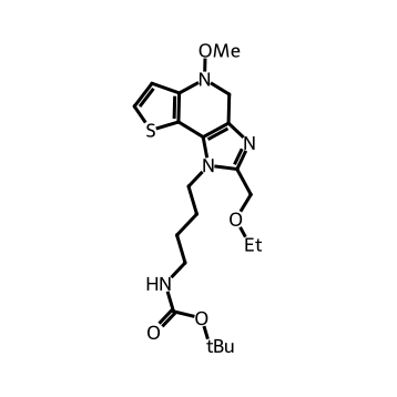 CCOCc1nc2c(n1CCCCNC(=O)OC(C)(C)C)-c1sccc1N(OC)C2